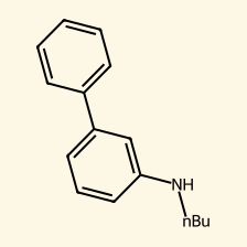 CCCCNc1cccc(-c2ccccc2)c1